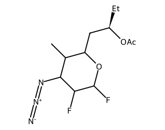 CC[C@H](CC1OC(F)C(F)C(N=[N+]=[N-])C1C)OC(C)=O